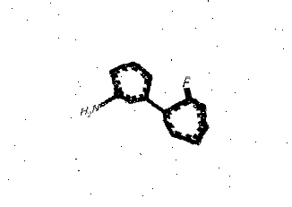 Nc1cccc(-c2ccccc2F)c1